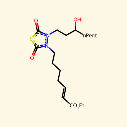 CCCCCC(O)CCn1c(=O)sc(=O)n1CCCCC=CC(=O)OCC